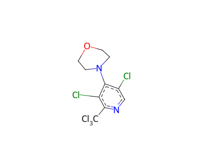 Clc1cnc(C(Cl)(Cl)Cl)c(Cl)c1N1CCOCC1